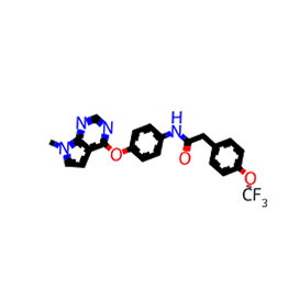 Cn1ccc2c(Oc3ccc(NC(=O)Cc4ccc(OC(F)(F)F)cc4)cc3)ncnc21